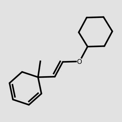 CC1(C=COC2CCCCC2)C=CC=CC1